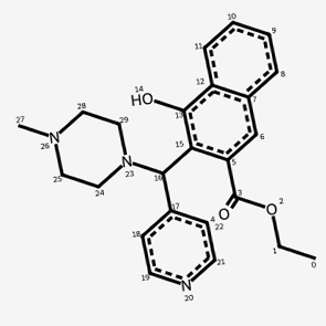 CCOC(=O)c1cc2ccccc2c(O)c1C(c1ccncc1)N1CCN(C)CC1